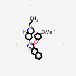 C=CCN1CC[C@@]2(c3cccc(OC)c3)C[C@H](N(CC(C)C)C(=O)c3ccc4ccccc4c3)CC[C@@H]2C1